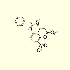 O=C(O)CC(NC(=O)Cc1ccccc1)c1cccc([N+](=O)[O-])c1